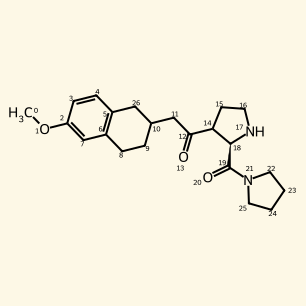 COc1ccc2c(c1)CCC(CC(=O)C1CCN[C@H]1C(=O)N1CCCC1)C2